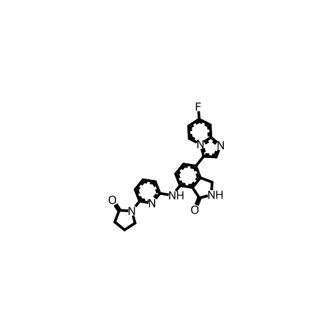 O=C1NCc2c(-c3cnc4cc(F)ccn34)ccc(Nc3cccc(N4CCCC4=O)n3)c21